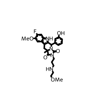 COCCNCCCN1C(=O)N2C(c3cccc(O)c3)c3[nH]c4cc(F)c(OC)cc4c3CC2(C)C1=O